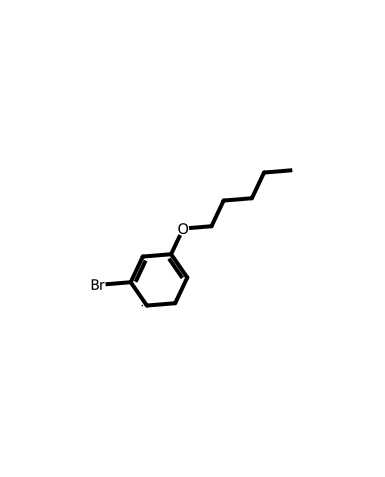 CCCCCOC1=CC[CH]C(Br)=C1